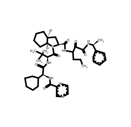 CCCC(NC(=O)[C@@H]1C[C@@H]2CCCC[C@@H]2N1C(=O)[C@@H](NC(=O)[C@@H](NC(=O)c1cnccn1)C1CCCCC1)C(C)(C)C)C(=O)C(=O)N[C@@H](C)c1ccccc1